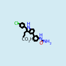 NC(=O)Nc1cccc(-c2ccc3[nH]c(-c4ccc(Cl)cc4)c(CCCC(=O)O)c3c2)c1